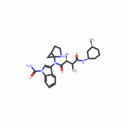 CCC[C@H](C(=O)N(c1cn(C(N)=O)c2ccccc12)C12CC1CCN2)C(C)C(=O)N[C@@H]1CCC[C@H](C)C1